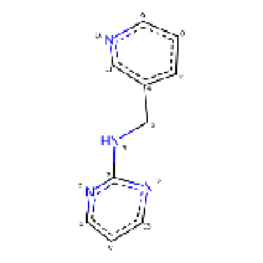 c1cnc(NCc2cccnc2)nc1